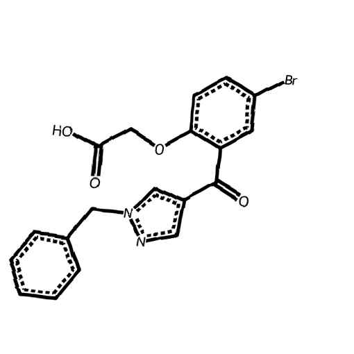 O=C(O)COc1ccc(Br)cc1C(=O)c1cnn(Cc2ccccc2)c1